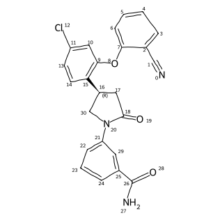 N#Cc1ccccc1Oc1cc(Cl)ccc1[C@H]1CC(=O)N(c2cccc(C(N)=O)c2)C1